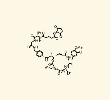 COc1ccc(C[C@H]2NC(=O)/C=C/C[C@@H]([C@H](C)[C@H]3O[C@@H]3c3ccc(CNC(=O)[C@H](C)NC(=O)[C@@H](NC(=O)CCCC(=O)ON4C(=O)CCC4=O)C(C)C)cc3)OC(=O)[C@H](CC(C)C)NC(=O)C(C)(C)C(C3CC3)NC2=O)cc1Cl